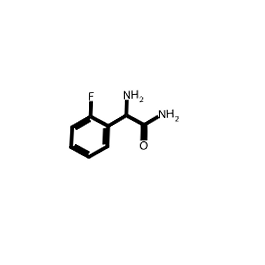 NC(=O)C(N)c1ccccc1F